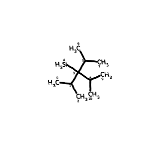 CC(C)C([SiH3])(C(C)C)C(C)C